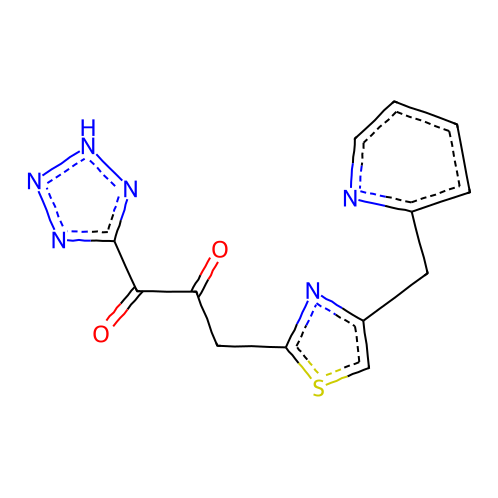 O=C(Cc1nc(Cc2ccccn2)cs1)C(=O)c1nn[nH]n1